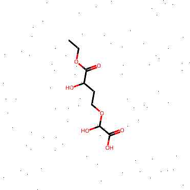 CCOC(=O)C(O)CCOC(O)C(=O)O